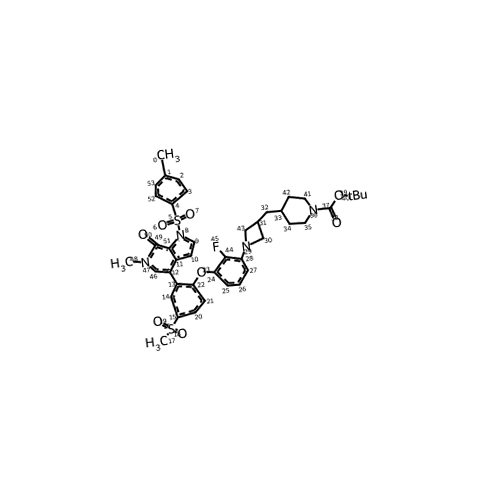 Cc1ccc(S(=O)(=O)n2ccc3c(-c4cc(S(C)(=O)=O)ccc4Oc4cccc(N5CC(CC6CCN(C(=O)OC(C)(C)C)CC6)C5)c4F)cn(C)c(=O)c32)cc1